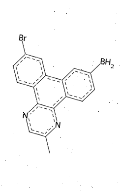 Bc1ccc2c(c1)c1cc(Br)ccc1c1ncc(C)nc21